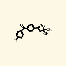 O=C(c1ccc(Cl)cc1)c1ccc(C2=NOC(O)(C(F)(F)F)C2)cc1